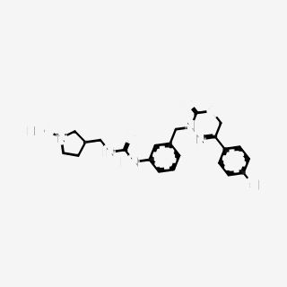 CN1CCC(CNC(=O)Nc2cccc(CN3N=C(c4ccc(Cl)cc4)CSC3=O)c2)C1